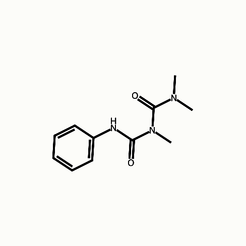 CN(C)C(=O)N(C)C(=O)Nc1ccccc1